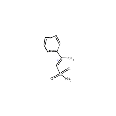 C/C(=C\S(N)(=O)=O)c1ccccc1